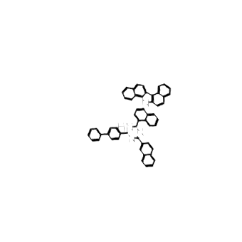 c1ccc(-c2ccc(C3=NC(c4ccc5ccccc5c4)=NC(c4ccc(-n5c6ccc7ccccc7c6c6ccc7ccccc7c65)c5ccccc45)N3)cc2)cc1